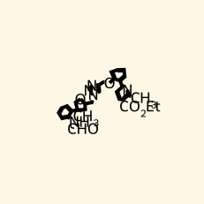 CCOC(=O)c1ccc(-c2ccccc2OCc2cn(CC3CC(C)(c4ccccc4NC=O)CO3)nn2)nc1C